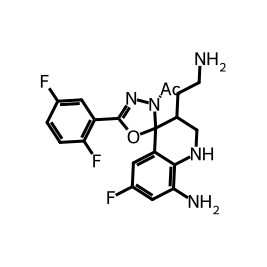 CC(=O)N1N=C(c2cc(F)ccc2F)OC12c1cc(F)cc(N)c1NCC2CCN